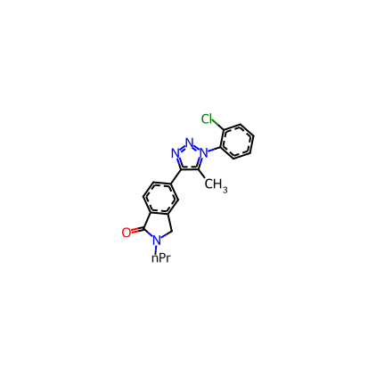 CCCN1Cc2cc(-c3nnn(-c4ccccc4Cl)c3C)ccc2C1=O